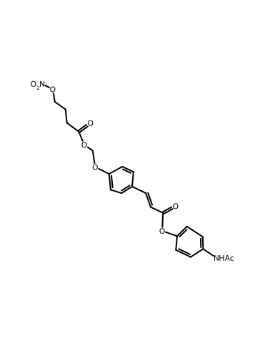 CC(=O)Nc1ccc(OC(=O)C=Cc2ccc(OCOC(=O)CCCO[N+](=O)[O-])cc2)cc1